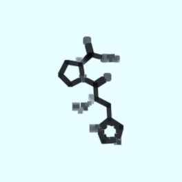 COC(=O)[C@@H]1CCCN1C(=O)[C@@H](N)Cc1cnc[nH]1